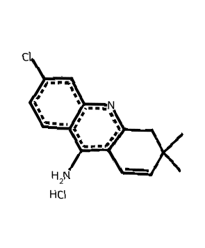 CC1(C)C=Cc2c(nc3cc(Cl)ccc3c2N)C1.Cl